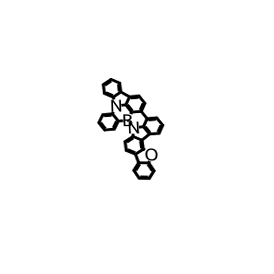 c1ccc2c(c1)B1c3c(ccc4c5ccccc5n-2c34)-c2cccc3c4c5oc6ccccc6c5ccc4n1c23